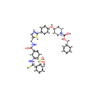 O=C(NCc1cnc(-c2ccc(OC3CCN(C(=O)OCc4ccccc4)CC3)cc2)s1)c1ccc2c(c1)NC(=S)c1ccccc1S2(=O)=O